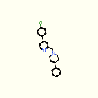 Clc1ccc(-c2ccnc(CN3CC=C(c4ccccc4)CC3)c2)cc1